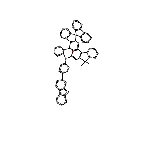 CC1(C)C2=C(CCC(N(c3ccc(-c4ccc5c(c4)oc4ccccc45)cc3)c3ccccc3C3=C=C=CC4=C3c3ccccc3C43c4ccccc4-c4ccccc43)=C2)c2ccccc21